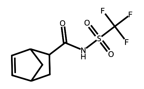 O=C(NS(=O)(=O)C(F)(F)F)C1CC2C=CC1C2